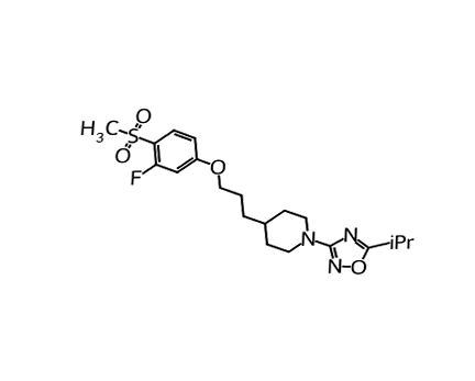 CC(C)c1nc(N2CCC(CCCOc3ccc(S(C)(=O)=O)c(F)c3)CC2)no1